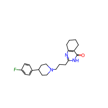 O=c1[nH]c(CCCN2CCC(c3ccc(F)cc3)CC2)nc2c1CCCC2